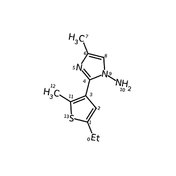 CCc1cc(-c2nc(C)cn2N)c(C)s1